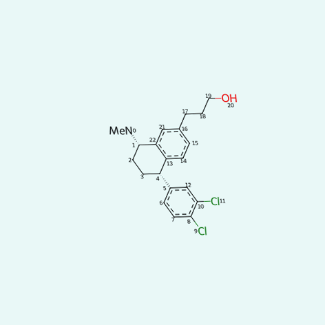 CN[C@H]1CC[C@@H](c2ccc(Cl)c(Cl)c2)c2ccc(CCCO)cc21